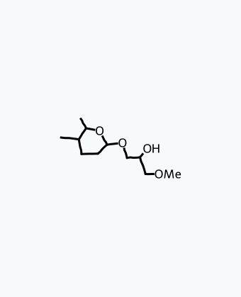 COCC(O)COC1CCC(C)C(C)O1